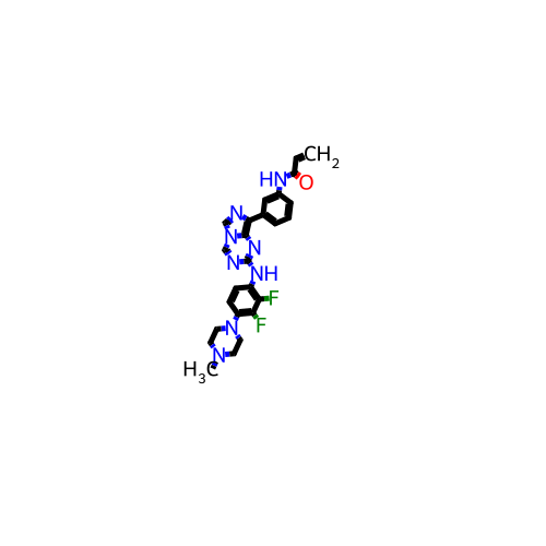 C=CC(=O)Nc1cccc(-c2ncn3cnc(Nc4ccc(N5CCN(C)CC5)c(F)c4F)nc23)c1